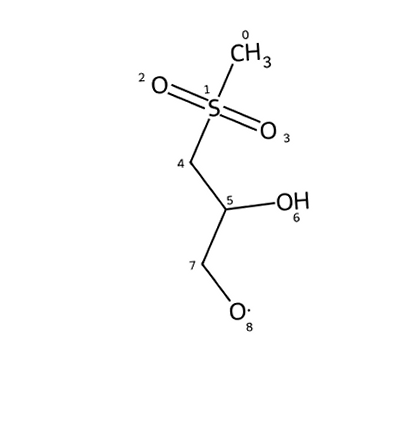 CS(=O)(=O)CC(O)C[O]